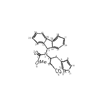 COC(=O)N(C(CC(=O)O)Cc1ccsc1)C1c2ccccc2-c2ccccc21